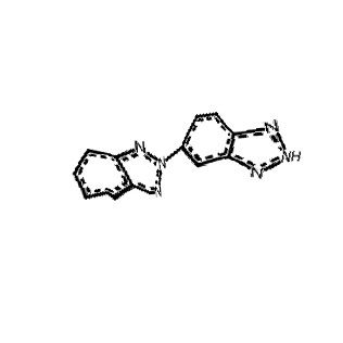 c1ccc2nn(-c3ccc4n[nH]nc4c3)nc2c1